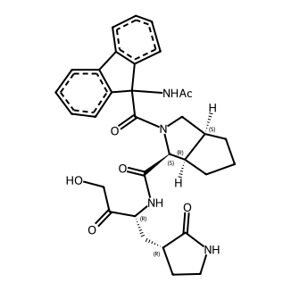 CC(=O)NC1(C(=O)N2C[C@H]3CCC[C@H]3[C@H]2C(=O)N[C@H](C[C@H]2CCNC2=O)C(=O)CO)c2ccccc2-c2ccccc21